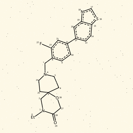 CCN1CC2(CCN(Cc3ccc(-c4ccc5scnc5c4)cc3F)CC2)OCC1=O